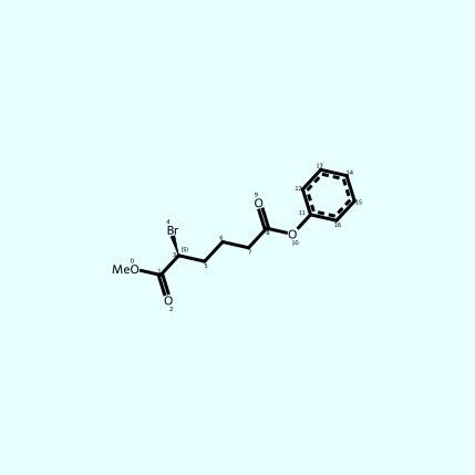 COC(=O)[C@@H](Br)CCCC(=O)Oc1ccccc1